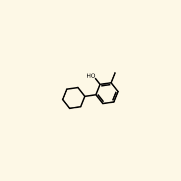 Cc1cccc(C2CCCCC2)c1O